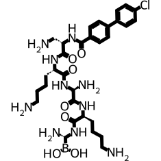 NCCCC[C@H](NC(=O)[C@H](N)NC(=O)[C@H](CCCCN)NC(=O)[C@H](CN)NC(=O)c1ccc(-c2ccc(Cl)cc2)cc1)C(=O)N[C@@H](N)B(O)O